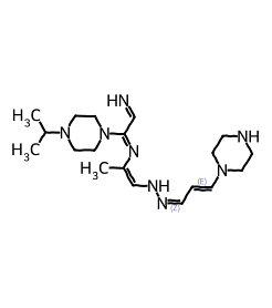 CC(=CN/N=C\C=C\N1CCNCC1)N=C(C=N)N1CCN(C(C)C)CC1